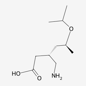 CC(C)O[C@@H](C)C[C@H](CN)CC(=O)O